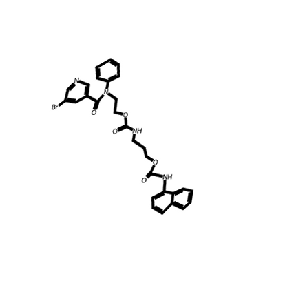 O=C(NCCCOC(=O)Nc1cccc2ccccc12)OCCN(C(=O)c1cncc(Br)c1)c1ccccc1